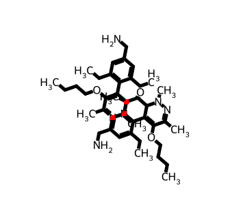 CCCCOC1=C(c2c(CC)cc(CN)cc2CC)C(C(=O)C2C(c3c(CC)cc(CN)cc3CC)=C(OCCCC)C(C)=NN2C)N(C)N=C1C